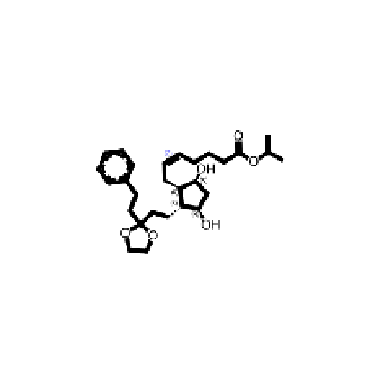 CC(C)OC(=O)CCC/C=C\C[C@@H]1[C@@H](CCC2(CCc3ccccc3)OCCO2)[C@H](O)C[C@@H]1O